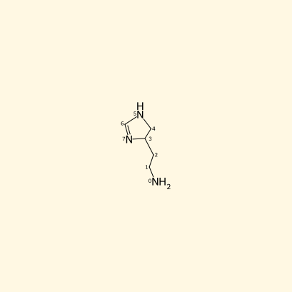 NCCC1CNC=N1